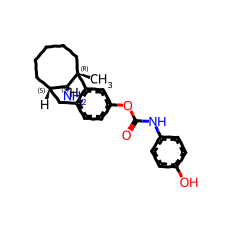 C[C@@]12CCCCC[C@@H](Cc3ccc(OC(=O)Nc4ccc(O)cc4)cc31)[C@@H]2N